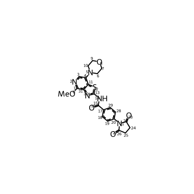 COc1ncc(N2CCOCC2)c2sc(NC(=O)c3ccc(N4C(=O)CCC4=O)cc3)nc12